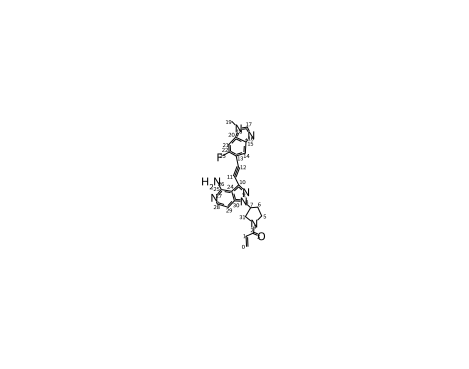 C=CC(=O)N1CCC(n2nc(C#Cc3cc4ncn(C)c4cc3F)c3c(N)nccc32)C1